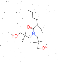 CCCCC(CC)C(=O)N(CC(C)(C)CO)CC(C)(C)CO